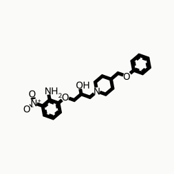 Nc1c(OCC(O)CN2CCC(COc3ccccc3)CC2)cccc1[N+](=O)[O-]